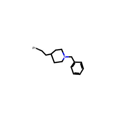 CC(C)CCC1CCN(Cc2ccccc2)CC1